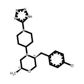 C[C@H]1CN(C2CCN(c3nnn[nH]3)CC2)[C@@H](Cc2ccc(Cl)cc2)CO1